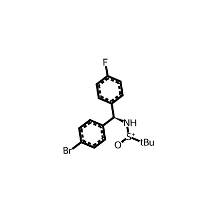 CC(C)(C)[S+]([O-])N[C@H](c1ccc(F)cc1)c1ccc(Br)cc1